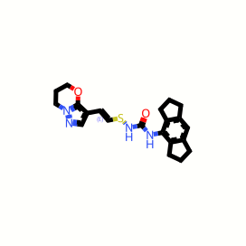 O=C(NS/C=C/c1cnn2c1OCCC2)Nc1c2c(cc3c1CCC3)CCC2